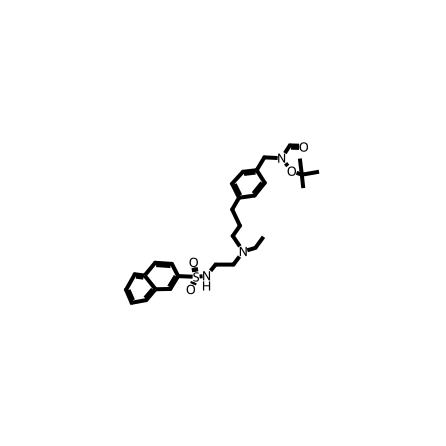 CCN(CCCc1ccc(CN(C=O)OC(C)(C)C)cc1)CCNS(=O)(=O)c1ccc2ccccc2c1